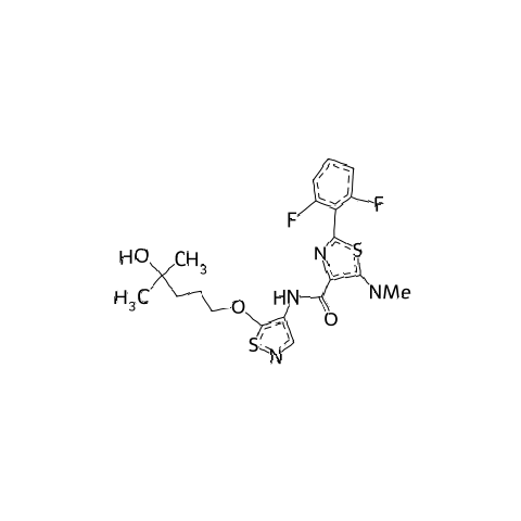 CNc1sc(-c2c(F)cccc2F)nc1C(=O)Nc1cnsc1OCCCC(C)(C)O